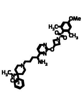 COc1cc(C)c(S(=O)(=O)N2CC(Oc3nccc(C(N)CCCN4CCC(c5ccccc5)(N(C)C)CC4)n3)C2)c(C)c1